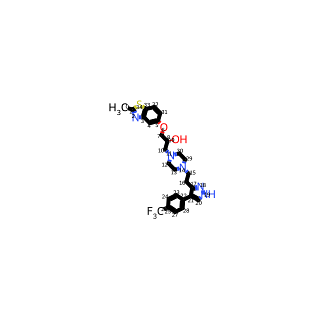 Cc1nc2cc(OC[C@H](O)CN3CCN(CCc4n[nH]cc4-c4ccc(C(F)(F)F)cc4)CC3)ccc2s1